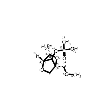 B[C@@H]1O[C@@]2(COC)CO[C@H]1C2OP(C)(=O)O